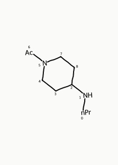 CCCNC1CCN(C(C)=O)CC1